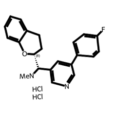 CNC(c1cncc(-c2ccc(F)cc2)c1)[C@H]1CCc2ccccc2O1.Cl.Cl